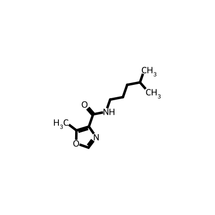 Cc1ocnc1C(=O)NCCCC(C)C